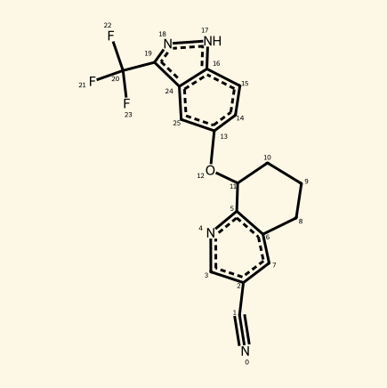 N#Cc1cnc2c(c1)CCCC2Oc1ccc2[nH]nc(C(F)(F)F)c2c1